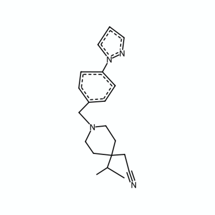 CC(C)C1(CC#N)CCN(Cc2ccc(-n3cccn3)cc2)CC1